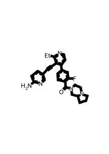 CCc1nccc(-c2ccc(C(=O)N3CCN4CCCC4C3)c(F)c2)c1C#Cc1ccc(N)nc1